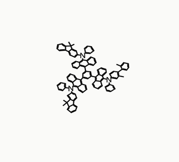 Cc1ccccc1-c1ccc(N(c2ccccc2)c2c3ccccc3c(-c3cc(-c4c5ccccc5c(N(c5ccccc5)c5ccc6c(c5)C(C)(C)c5ccccc5-6)c5ccccc45)cc(-c4c5ccccc5c(N(c5ccccc5)c5ccc6c(c5)C(C)(C)c5ccccc5-6)c5ccccc45)c3)c3ccccc23)cc1C